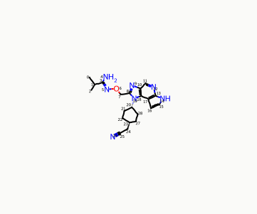 CC(C)/C(N)=N/OCc1nc2cnc3[nH]ccc3c2n1[C@H]1CC[C@H](CC#N)CC1